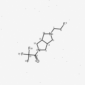 O=C(N1CC2CN(CCF)CC2C1)C(F)(F)F